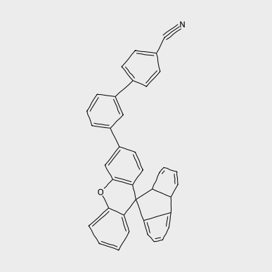 N#Cc1ccc(-c2cccc(-c3ccc4c(c3)Oc3ccccc3C43c4ccccc4C4C=CC=CC43)c2)cc1